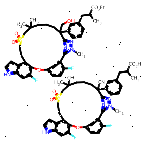 CC(Cc1cccc(C2(C#N)CCCC(C)(C)CS(=O)(=O)CCc3c(c(F)cc4[nH]ccc34)Oc3ccc(F)c(c3)-c3nc2nn3C)c1)C(=O)O.CCOC(=O)C(C)Cc1cccc(C2(CO)CCCC(C)(C)CS(=O)(=O)CCc3c(c(F)cc4[nH]ccc34)Oc3ccc(F)c(c3)-c3nc2nn3C)c1